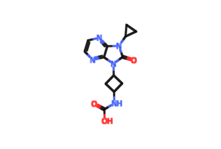 O=C(O)NC1CC(n2c(=O)n(C3CC3)c3nccnc32)C1